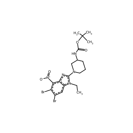 CCn1c(N2CCCC(NC(=O)OC(C)(C)C)C2)nc2c([N+](=O)[O-])c(Br)c(Br)cc21